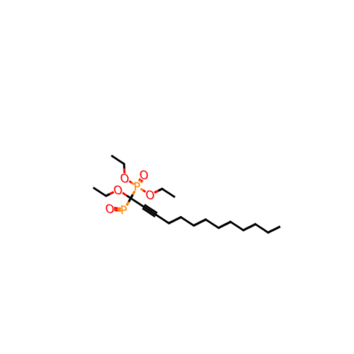 CCCCCCCCCCC#CC(OCC)(P=O)P(=O)(OCC)OCC